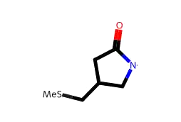 CSCC1C[N]C(=O)C1